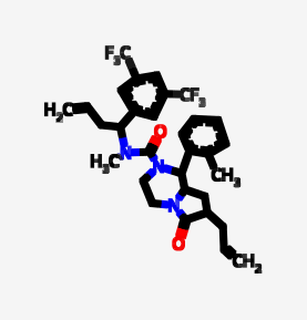 C=CCC1CC2C(c3ccccc3C)N(C(=O)N(C)C(CC=C)c3cc(C(F)(F)F)cc(C(F)(F)F)c3)CCN2C1=O